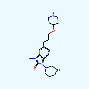 Cn1c(=O)n(C2CCCNC2)c2ccc(CCCOC3CCNCC3)cc21